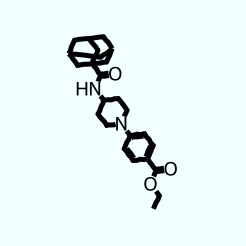 CCOC(=O)c1ccc(N2CCC(NC(=O)C34CC5CC(CC(C5)C3)C4)CC2)cc1